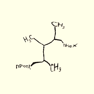 [CH2]CCCCCC(C)C(C)C(C)CCCC[CH2]